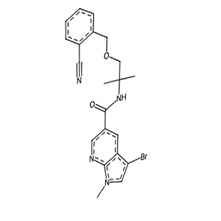 Cn1cc(Br)c2cc(C(=O)NC(C)(C)COCc3ccccc3C#N)cnc21